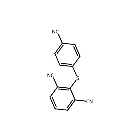 N#Cc1ccc(Sc2c(C#N)cccc2C#N)cc1